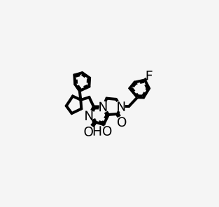 O=C1c2c(O)c(=O)nc(CC3(c4ccccc4)CCCC3)n2CCN1Cc1ccc(F)cc1